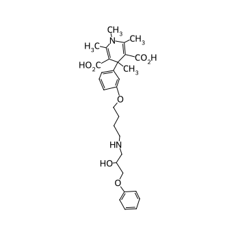 CC1=C(C(=O)O)C(C)(c2cccc(OCCCCNCC(O)COc3ccccc3)c2)C(C(=O)O)=C(C)N1C